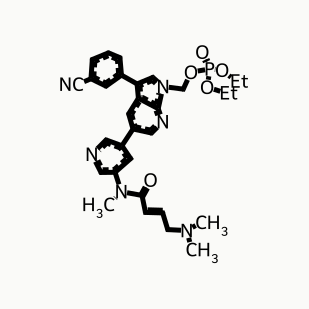 CCOP(=O)(OCC)OCn1cc(-c2cccc(C#N)c2)c2cc(-c3cncc(N(C)C(=O)C=CCN(C)C)c3)cnc21